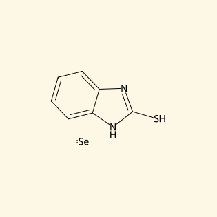 Sc1nc2ccccc2[nH]1.[Se]